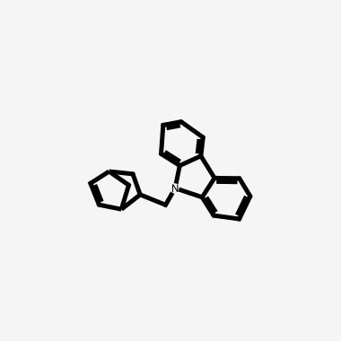 C1=CC2CC1CC2Cn1c2ccccc2c2ccccc21